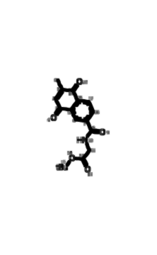 CC1=CC(=O)c2cc(C(=O)NCC(=O)OC(C)(C)C)ccc2C1=O